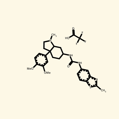 COc1ccc(C23CCC(NC(=O)Nc4ccc5sc(C)nc5c4)CC2N(C)CC3)cc1OC.O=C(O)C(F)(F)F